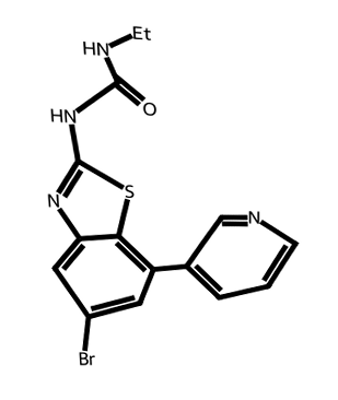 CCNC(=O)Nc1nc2cc(Br)cc(-c3cccnc3)c2s1